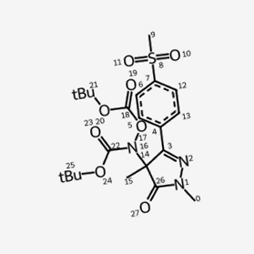 CN1N=C(c2ccc(S(C)(=O)=O)cc2)C(C)(N(OC(=O)OC(C)(C)C)C(=O)OC(C)(C)C)C1=O